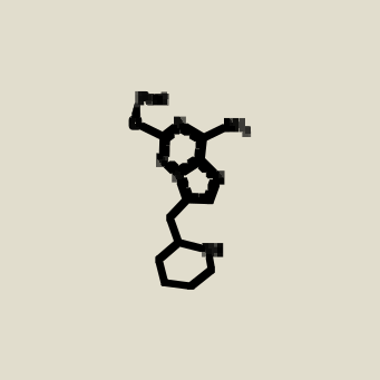 CCC[C@H](C)Oc1nc(N)c2ncc(CC3CCCCN3)n2n1